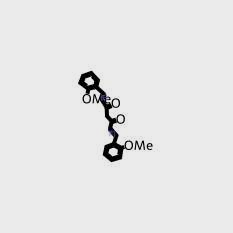 COc1ccccc1/C=C/C(=O)CC(=O)/C=C/c1ccccc1OC